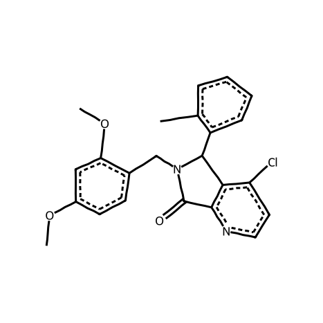 COc1ccc(CN2C(=O)c3nccc(Cl)c3C2c2ccccc2C)c(OC)c1